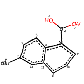 CC(C)(C)c1ccc2c(B(O)O)cccc2c1